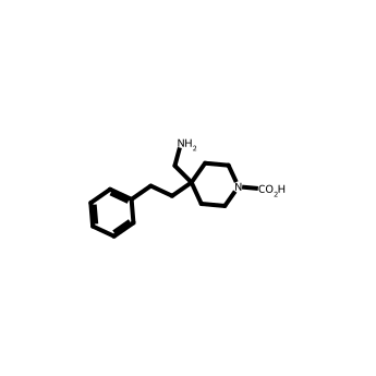 NCC1(CCc2ccccc2)CCN(C(=O)O)CC1